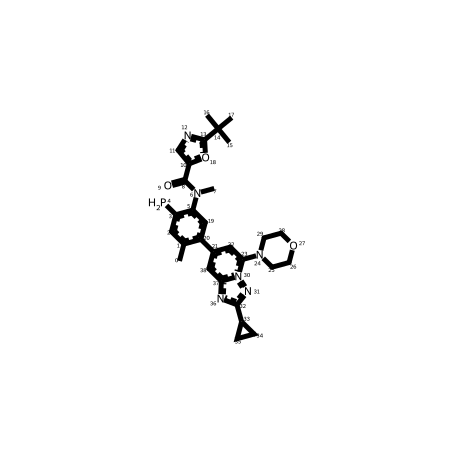 Cc1cc(P)c(N(C)C(=O)c2cnc(C(C)(C)C)o2)cc1-c1cc(N2CCOCC2)n2nc(C3CC3)nc2c1